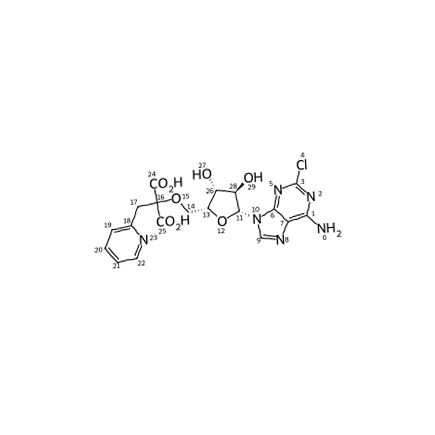 Nc1nc(Cl)nc2c1ncn2[C@@H]1O[C@H](COC(Cc2ccccn2)(C(=O)O)C(=O)O)[C@H](O)[C@H]1O